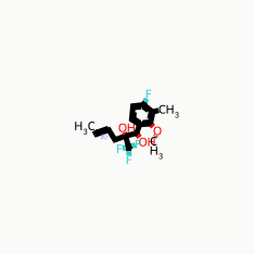 C/C=C/CC(O)(C(O)c1ccc(F)c(C)c1OC)C(F)(F)F